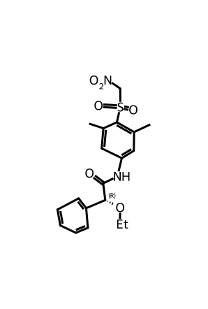 CCO[C@@H](C(=O)Nc1cc(C)c(S(=O)(=O)C[N+](=O)[O-])c(C)c1)c1ccccc1